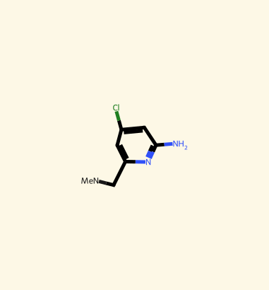 CNCc1cc(Cl)cc(N)n1